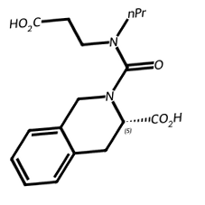 CCCN(CCC(=O)O)C(=O)N1Cc2ccccc2C[C@H]1C(=O)O